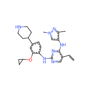 C=Cc1cnc(Nc2ccc(C3CCNCC3)cc2OC2CC2)nc1Nc1cn(C)nc1C